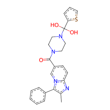 Cc1nc2ccc(C(=O)N3CCN(C(O)(O)c4cccs4)CC3)cn2c1-c1ccccc1